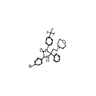 O=C1C(c2ccc(Br)cc2)NC(CCN2CCOCC2)(c2ccccc2)N1c1ccc(C(F)(F)F)cc1